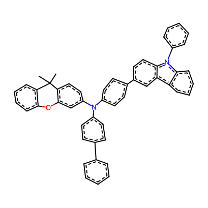 CC1(C)c2ccccc2Oc2cc(N(c3ccc(-c4ccccc4)cc3)c3ccc(-c4ccc5c(c4)c4ccccc4n5-c4ccccc4)cc3)ccc21